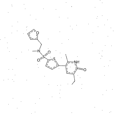 CCc1cc(-c2ccc(S(=O)(=O)N(C)Cc3ccco3)s2)c(C)[nH]c1=O